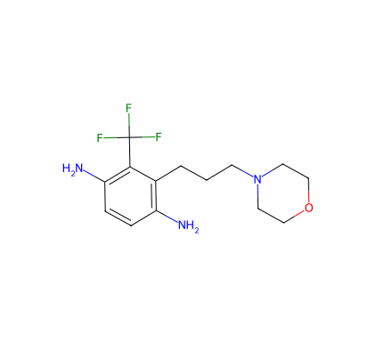 Nc1ccc(N)c(C(F)(F)F)c1CCCN1CCOCC1